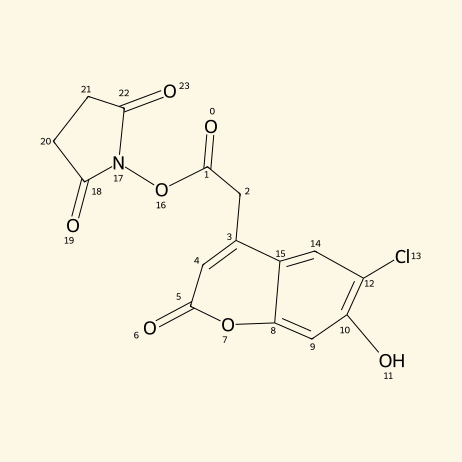 O=C(Cc1cc(=O)oc2cc(O)c(Cl)cc12)ON1C(=O)CCC1=O